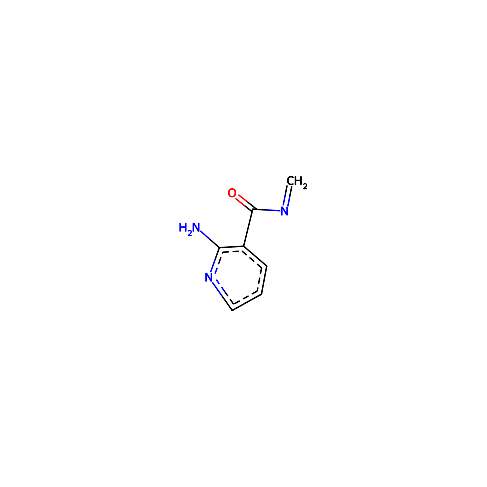 C=NC(=O)c1cccnc1N